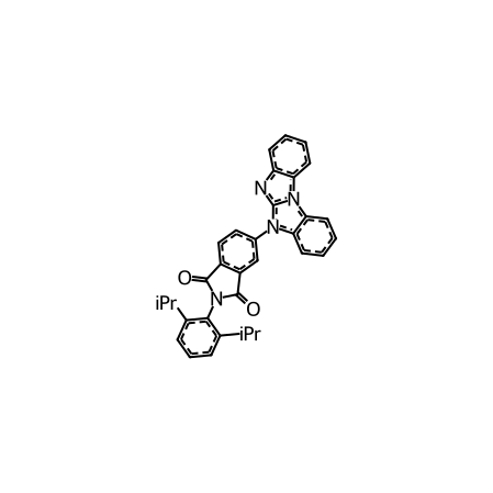 CC(C)c1cccc(C(C)C)c1N1C(=O)c2ccc(-n3c4ccccc4n4c5ccccc5nc34)cc2C1=O